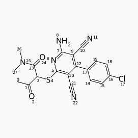 CC(=O)C(Sc1nc(N)c(C#N)c(-c2ccc(Cl)cc2)c1C#N)C(=O)N(C)C